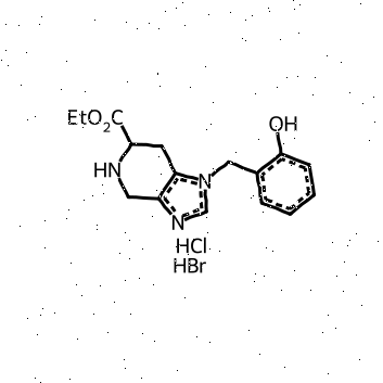 Br.CCOC(=O)C1Cc2c(ncn2Cc2ccccc2O)CN1.Cl